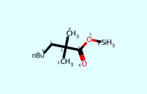 CCCCCC(C)(C)C(=O)O[SiH3]